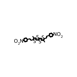 Cc1c(/C=C/c2ccc([N+](=O)[O-])cc2)sc2c1sc1c3sc(/C=C/c4ccc([N+](=O)[O-])cc4)c(C)c3sc21